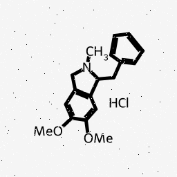 COc1cc2c(cc1OC)C(Cc1ccccc1)N(C)C2.Cl